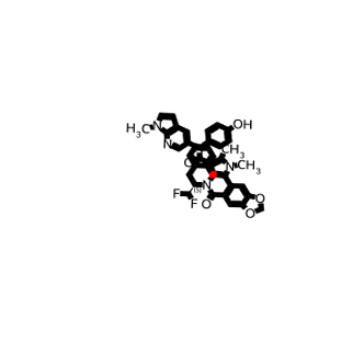 Cc1c(C(=O)N(c2ccc(O)cc2)c2cnc3c(ccn3C)c2)cc(-c2cc3c(cc2C(=O)N2Cc4ccccc4C[C@H]2C(F)F)OCO3)n1C